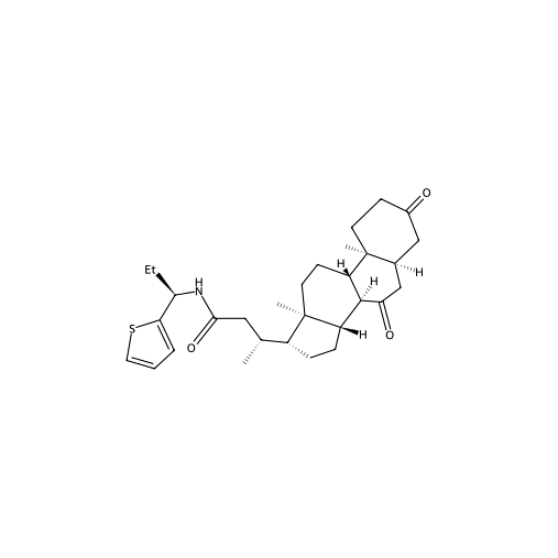 CC[C@@H](NC(=O)C[C@@H](C)[C@H]1CC[C@H]2[C@@H]3C(=O)C[C@@H]4CC(=O)CC[C@]4(C)[C@H]3CC[C@]12C)c1cccs1